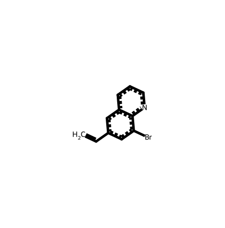 C=Cc1cc(Br)c2ncccc2c1